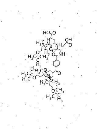 CC(C)(CCOC(C)(C)C)NC(=O)C(CCC(=O)O)NC(=O)[C@H](CCC(=O)O)NC(=O)c1ccc(C(=O)C(CSC(C)(C)CCOC(C)(C)C)CS(=O)(=O)C(C)(C)CCOC(C)(C)C)cc1